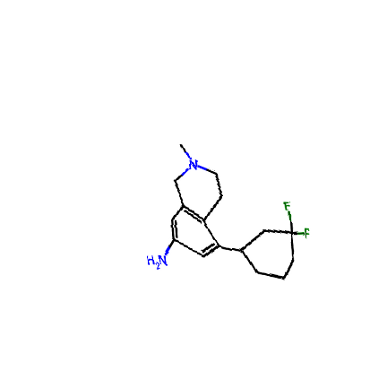 CN1CCc2c(cc(N)cc2C2CCCC(F)(F)C2)C1